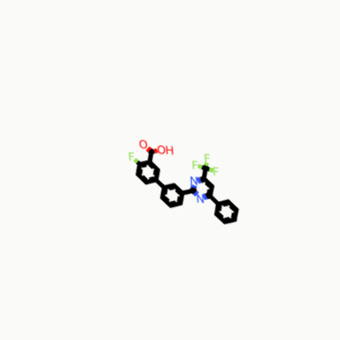 O=C(O)c1cc(-c2cccc(-c3nc(-c4ccccc4)cc(C(F)(F)F)n3)c2)ccc1F